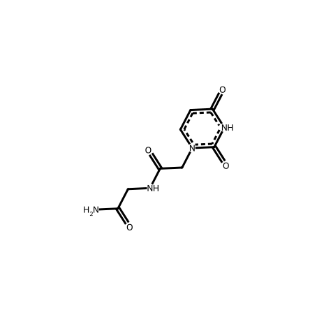 NC(=O)CNC(=O)Cn1ccc(=O)[nH]c1=O